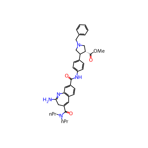 CCCN(CCC)C(=O)C1=Cc2ccc(C(=O)Nc3ccc(C4CN(Cc5ccccc5)C[C@@H]4C(=O)OC)cc3)cc2N=C(N)C1